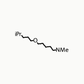 CNCCCCCOCCCC(C)C